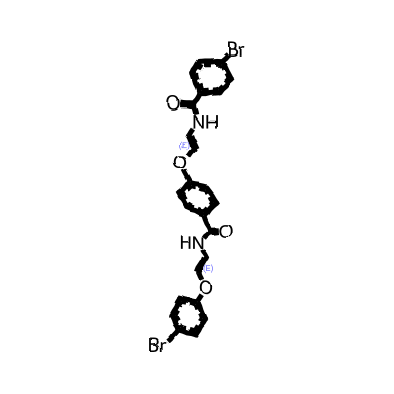 O=C(N/C=C/Oc1ccc(C(=O)N/C=C/Oc2ccc(Br)cc2)cc1)c1ccc(Br)cc1